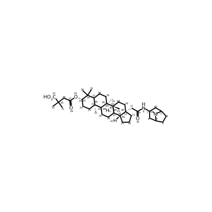 CN1C2CCC1CC(NC(=O)C[C@]13CCC[C@@H]1[C@H]1CCC4[C@@]5(C)CC[C@H](OC(=O)CC(C)(C)C(=O)O)C(C)(C)C5CC[C@@]4(C)[C@]1(C)CC3)C2